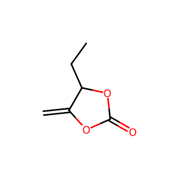 C=C1OC(=O)OC1CC